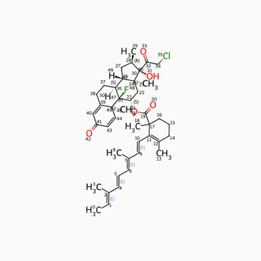 C/C=C(C)/C=C/C=C(C)/C=C/C1=C(C)CCCC1(C)C(=O)O[C@H]1C[C@@]2(C)[C@@H](C[C@@H](C)[C@]2(O)C(=O)CCl)[C@@H]2CCC3=CC(=O)C=C[C@]3(C)[C@@]12F